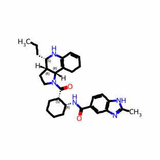 CCC[C@@H]1NC2=C(CCC=C2)[C@H]2[C@@H]1CCN2C(=O)[C@H]1CCCC[C@H]1NC(=O)c1ccc2[nH]c(C)nc2c1